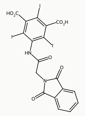 O=C(CN1C(=O)c2ccccc2C1=O)Nc1c(I)c(C(=O)O)c(I)c(C(=O)O)c1I